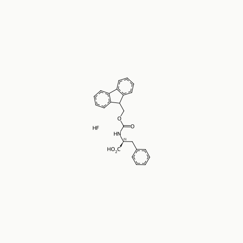 F.O=C(N[C@@H](Cc1ccccc1)C(=O)O)OCC1c2ccccc2-c2ccccc21